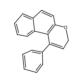 C1=C(c2ccccc2)c2c(ccc3ccccc23)OC1